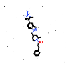 Cc1[nH]ncc1-c1ccc2c(cnn2CC2CCN(C(=O)CCc3ccccc3)C(C)C2)c1